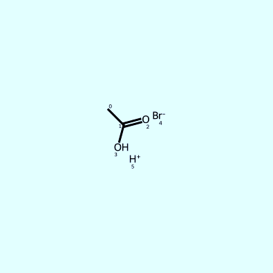 CC(=O)O.[Br-].[H+]